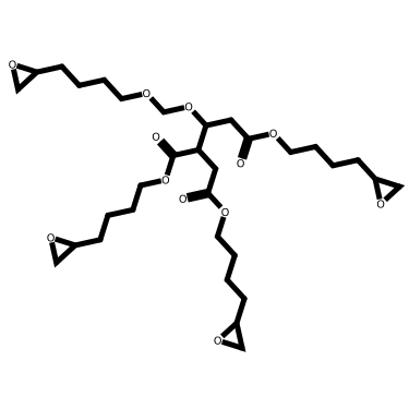 O=C(CC(OCOCCCCC1CO1)C(CC(=O)OCCCCC1CO1)C(=O)OCCCCC1CO1)OCCCCC1CO1